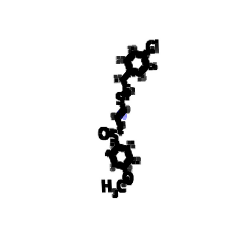 COc1ccc([S+]([O-])C/C=C/SSCc2ccc(Cl)cc2)cc1